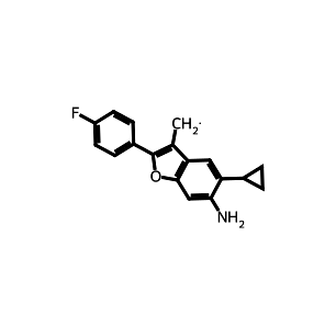 [CH2]c1c(-c2ccc(F)cc2)oc2cc(N)c(C3CC3)cc12